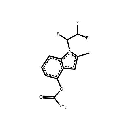 NC(=O)Oc1cccc2c1cc(I)n2C(F)C(F)F